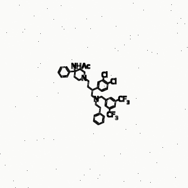 CC(=O)NC1(c2ccccc2)CCN(CCC(CN(CCc2ccccc2)Cc2cc(C(F)(F)F)cc(C(F)(F)F)c2)c2ccc(Cl)c(Cl)c2)CC1